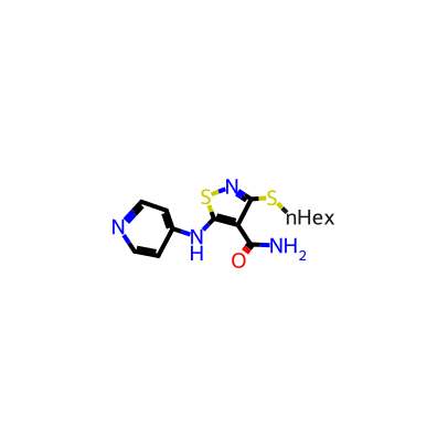 CCCCCCSc1nsc(Nc2ccncc2)c1C(N)=O